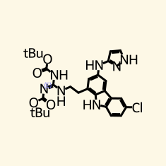 CC(C)(C)OC(=O)/N=C(\NCCc1cc(Nc2cc[nH]n2)cc2c1[nH]c1ccc(Cl)cc12)NC(=O)OC(C)(C)C